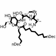 CCCCCCCCCCCCCCCCCC(=O)N(CCCCCCCCCCCCCC)[C@@H]1O[C@H](CO)[C@@H](O)[C@H](O)[C@H]1NC(=O)[C@H](CC(C)C)NC(=O)[C@H](C)N